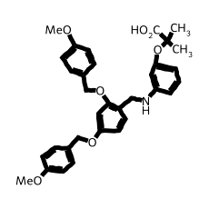 COc1ccc(COc2ccc(CNc3cccc(OC(C)(C)C(=O)O)c3)c(OCc3ccc(OC)cc3)c2)cc1